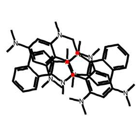 CN(C)c1cc(N(C)C)c(C2N(C)c3ccc4ccccc4c3N2C)c(N(C)CCN(C)c2cc(N(C)C)cc(N(C)C)c2C2N(C)c3ccc4ccccc4c3N2C)c1